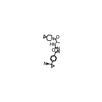 C[C@@H](Nc1nnc(-c2ccc(C3(C#N)CC3)cc2)o1)C(=O)N1CCC2(CC1)CC2